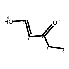 CCC(=O)C=CO